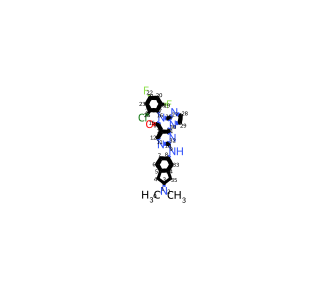 CN(C)C1Cc2ccc(Nc3ncc4c(=O)n(-c5c(F)cc(F)cc5Cl)c5nccn5c4n3)cc2C1